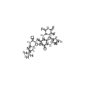 [2H]C([2H])([2H])n1cc2cc(N=c3[nH]c(=O)n(Cc4ncn(C)n4)c(=O)n3Cc3cc(F)c(F)cc3F)c(Cl)cc2n1